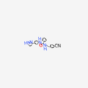 N#Cc1ccc(CCNC(C(=O)NC2C=CC(C3=NNCC=C3)=CC2)c2ccccc2)cc1